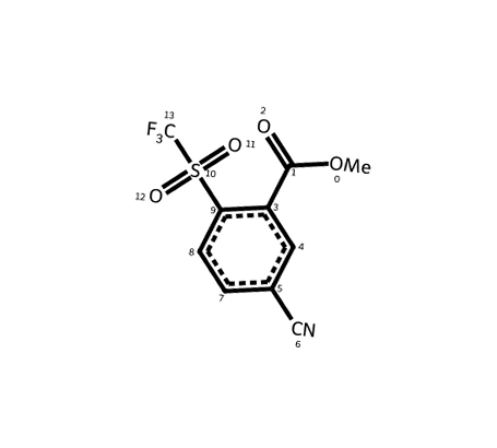 COC(=O)c1cc(C#N)ccc1S(=O)(=O)C(F)(F)F